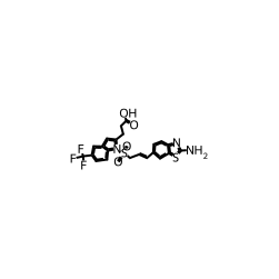 Nc1nc2ccc(C=CCS(=O)(=O)n3c(CCC(=O)O)cc4cc(C(F)(F)F)ccc43)cc2s1